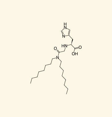 CCCCCCCCN(CCCCCCCC)C(=O)CN[C@@H](Cc1c[nH]cn1)C(=O)O